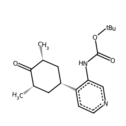 C[C@@H]1C[C@H](c2ccncc2NC(=O)OC(C)(C)C)C[C@H](C)C1=O